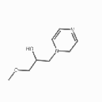 COCC(O)CN1C=CN=CC1